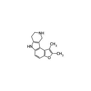 Cc1oc2ccc3[nH]c4c(c3c2c1C)CNCC4